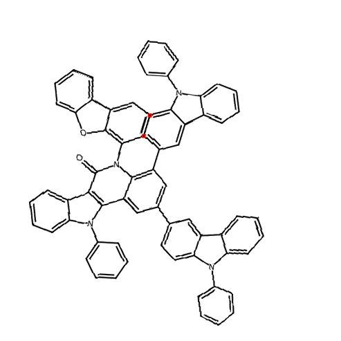 O=c1c2c3ccccc3n(-c3ccccc3)c2c2cc(-c3ccc4c(c3)c3ccccc3n4-c3ccccc3)cc(-c3ccc4c(c3)c3ccccc3n4-c3ccccc3)c2n1-c1cccc2c1oc1ccccc12